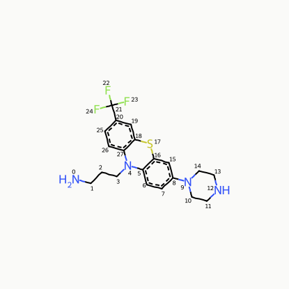 NCCCN1c2ccc(N3CCNCC3)cc2Sc2cc(C(F)(F)F)ccc21